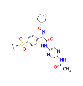 CC(=O)Nc1cnc(NC(=O)/C(=N/O[C@@H]2CCOC2)c2ccc(S(=O)(=O)C3CC3)cc2)cn1